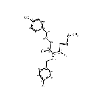 CON=C[C@@H](F)[C@H](OCc1ccc(Cl)cc1)[C@@H](Br)COCc1ccc(Cl)cc1